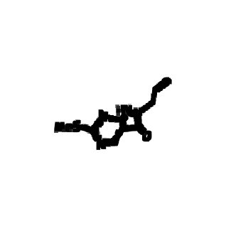 C=CCn1[nH]c2nc(SC)ncc2c1=O